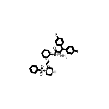 N[C@H](C(=O)N[C@@H]1CCCC[C@H]1CC[C@H]1CNCCN1S(=O)(=O)c1ccccc1)C(c1ccc(F)cc1)c1ccc(F)cc1